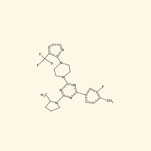 Cc1ccc(-c2nc(N3CCN(c4ncccc4C(F)(F)F)CC3)nc(N3CCCC3C)n2)cc1F